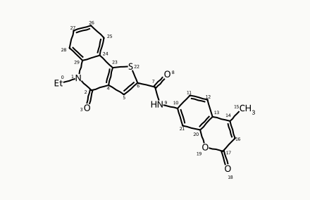 CCn1c(=O)c2cc(C(=O)Nc3ccc4c(C)cc(=O)oc4c3)sc2c2ccccc21